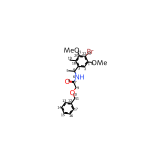 COc1cc(C(C)NC(=O)COCc2ccccc2)c(C)c(OC)c1Br